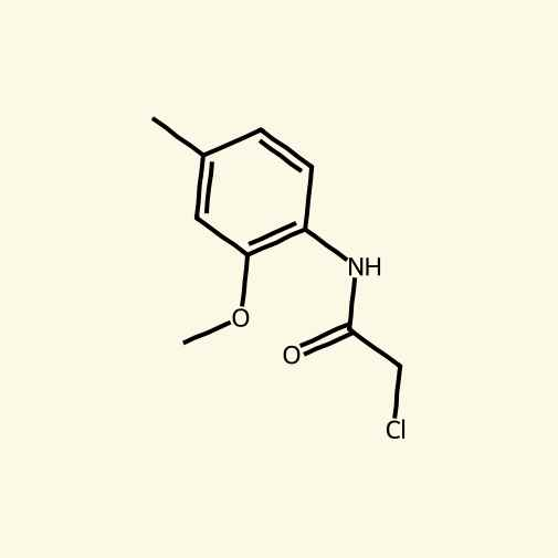 COc1cc(C)ccc1NC(=O)CCl